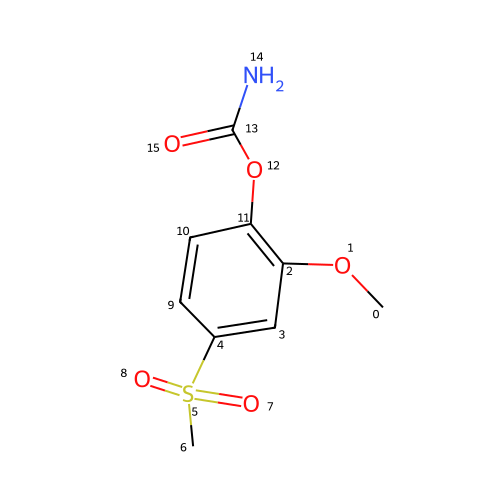 COc1cc(S(C)(=O)=O)ccc1OC(N)=O